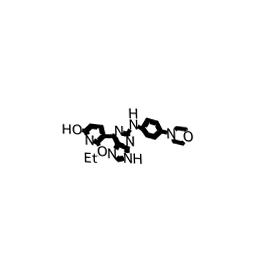 CCOc1nc(O)ccc1-c1nc(Nc2ccc(N3CCOCC3)cc2)nc2[nH]cnc12